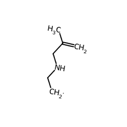 [CH2]CNCC(=C)C